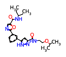 CCC(CC)NC(=O)c1cnc(-c2cccc(-c3cc(C(=O)NCCOC(C)C)n[nH]3)c2)o1